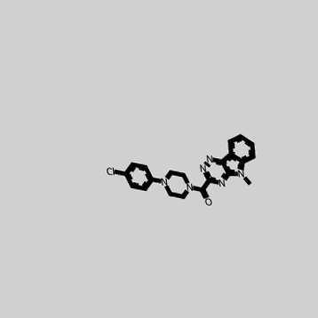 Cn1c2ccccc2c2nnc(C(=O)N3CCN(c4ccc(Cl)cc4)CC3)nc21